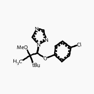 COC(C)(C(Oc1ccc(Cl)cc1)n1cncn1)C(C)(C)C